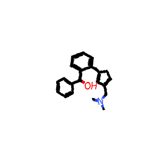 CN(C)CC1=CCC(c2ccccc2C(O)c2ccccc2)=C1